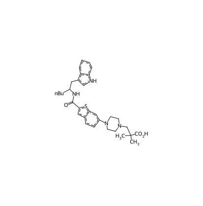 CCCCC(Cc1c[nH]c2ccccc12)NC(=O)c1cc2ccc(N3CCN(CC(C)(C)C(=O)O)CC3)cc2s1